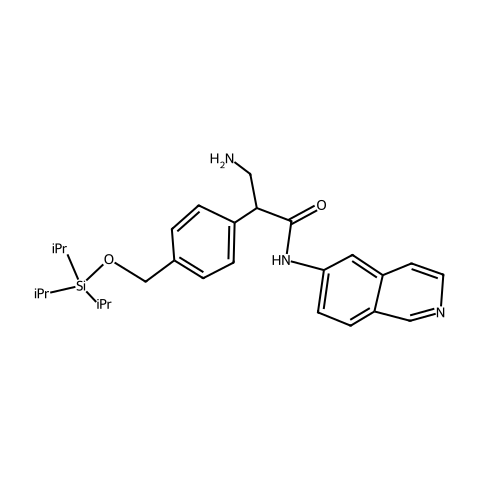 CC(C)[Si](OCc1ccc(C(CN)C(=O)Nc2ccc3cnccc3c2)cc1)(C(C)C)C(C)C